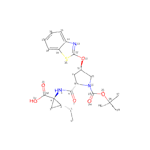 CC[C@@H]1C[C@]1(NC(=O)[C@@H]1C[C@@H](Oc2nc3ccccc3s2)CN1C(=O)OC(C)(C)C)C(=O)O